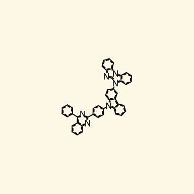 c1ccc(-c2nc(-c3ccc(-n4c5ccccc5c5cc(-n6c7ccccc7n7c8ccccc8nc67)ccc54)cc3)nc3ccccc23)cc1